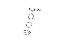 COC(=O)[C@H]1CC[C@H](C2CCC(C3OCCO3)CC2)CC1